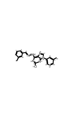 Cc1cccc(/C=N/Nc2nc(Cl)nc3c2ncn3-c2cncc(C)c2)c1